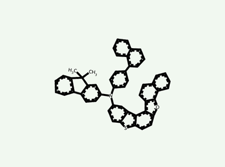 CC1(C)c2ccccc2-c2ccc(N(c3ccc(-c4cccc5ccccc45)cc3)c3ccc4sc5ccc6oc7c8ccccc8ccc7c6c5c4c3)cc21